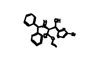 CCOC(=O)C(NC(c1ccccc1)c1ccccc1)C(O)c1nc(Br)cs1